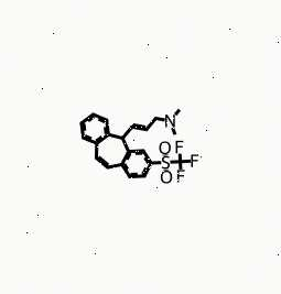 CN(C)CC=CC1c2ccccc2C=Cc2ccc(S(=O)(=O)C(F)(F)F)cc21